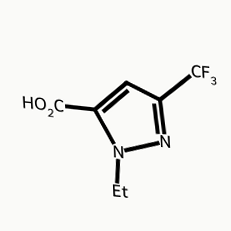 CCn1nc(C(F)(F)F)cc1C(=O)O